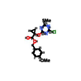 COc1ccc(COC(=O)C2(Oc3nc(Cl)nc(SC)n3)CC2)cc1